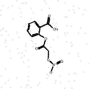 O=C(CO[N+](=O)[O-])Oc1ccccc1C(=O)O